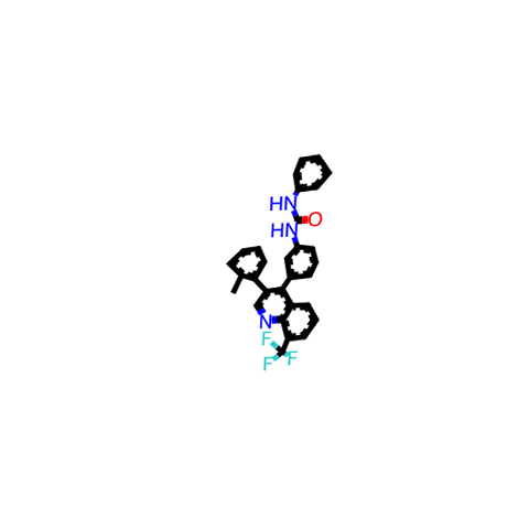 Cc1ccccc1-c1cnc2c(C(F)(F)F)cccc2c1-c1cccc(NC(=O)Nc2ccccc2)c1